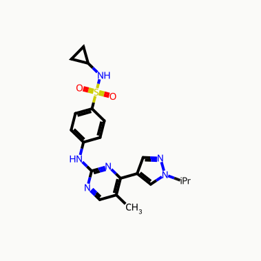 Cc1cnc(Nc2ccc(S(=O)(=O)NC3CC3)cc2)nc1-c1cnn(C(C)C)c1